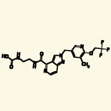 Cc1cc(Cn2cc3c(C(=O)NCCNC(=O)O)nccc3n2)cnc1OCC(F)(F)F